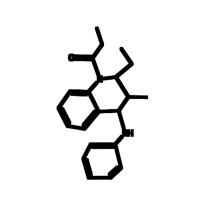 CCC(=O)N1c2ccccc2C(Nc2ccccc2)C(C)C1CC